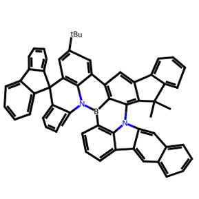 CC(C)(C)c1cc2c3c(c1)C1(c4ccccc4-c4ccccc41)c1ccccc1N3B1c3c-2cc2c(c3-n3c4cc5ccccc5cc4c4cccc1c43)C(C)(C)c1ccccc1-2